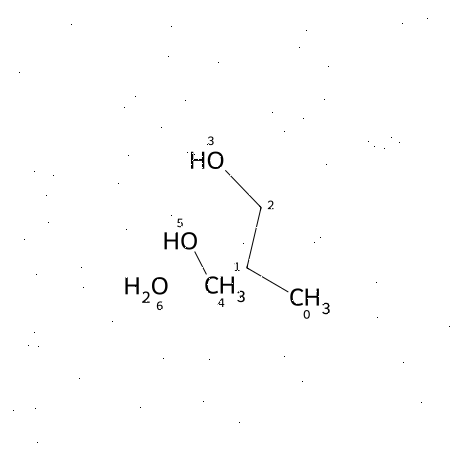 CCCO.CO.O